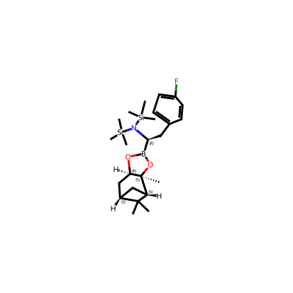 CC1(C)[C@@H]2C[C@H]3OB([C@H](Cc4ccc(F)cc4)N([Si](C)(C)C)[Si](C)(C)C)O[C@@]3(C)[C@H]1C2